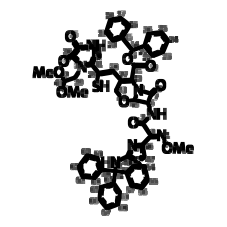 CON=C(C(=O)NC1C(=O)N2C(C(=O)OC(c3ccccc3)c3ccccc3)=C(C=C(S)c3n[nH]c(=O)c(=O)n3CC(OC)OC)COC12)c1csc(NC(c2ccccc2)(c2ccccc2)c2ccccc2)n1